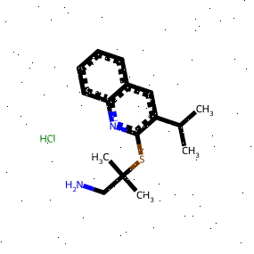 CC(C)c1cc2ccccc2nc1SC(C)(C)CN.Cl